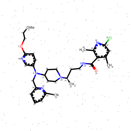 COCCOc1ccc(N(Cc2cccc(C#N)n2)C2CCN([C@H](C)CCNC(=O)c3c(C)cc(Cl)nc3C)CC2)cn1